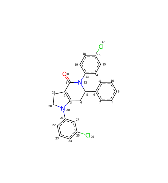 O=C1C2=C(CC(c3ccccc3)N1c1ccc(Cl)cc1)N(c1cccc(Cl)c1)CC2